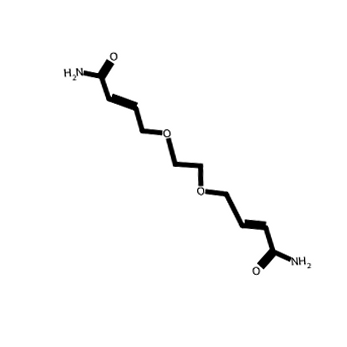 NC(=O)C=CCOCCOCC=CC(N)=O